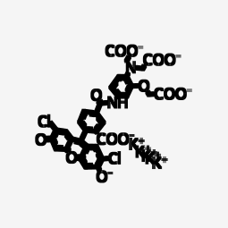 O=C([O-])COc1cc(NC(=O)c2ccc(-c3c4cc(Cl)c(=O)cc-4oc4cc([O-])c(Cl)cc34)c(C(=O)[O-])c2)ccc1N(CC(=O)[O-])CC(=O)[O-].[K+].[K+].[K+].[K+].[K+]